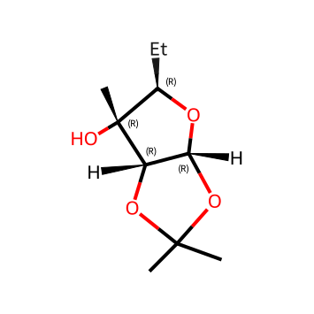 CC[C@H]1O[C@@H]2OC(C)(C)O[C@@H]2[C@]1(C)O